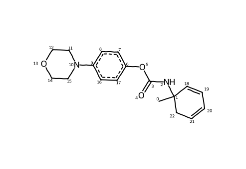 CC1(NC(=O)Oc2ccc(N3CCOCC3)cc2)C=CC=CC1